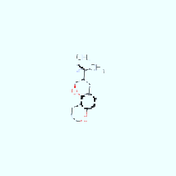 C/C=C(\C)C1COc2c(ccc3c2CCCO3)C1